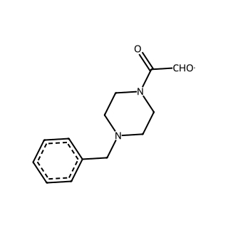 O=[C]C(=O)N1CCN(Cc2ccccc2)CC1